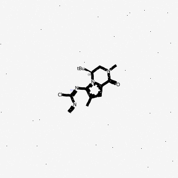 C=N/C(Cl)=N\c1c(C)cc2n1[C@@H](C(C)(C)C)CN(C)C2=O